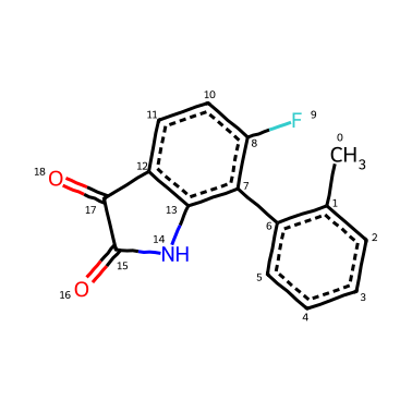 Cc1ccccc1-c1c(F)ccc2c1NC(=O)C2=O